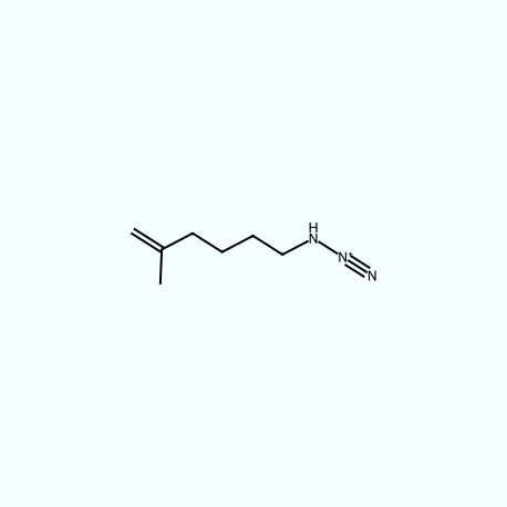 C=C(C)CCCCN[N+]#N